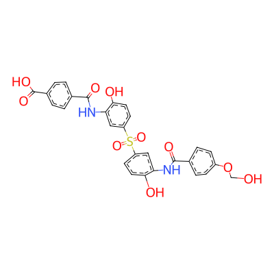 O=C(O)c1ccc(C(=O)Nc2cc(S(=O)(=O)c3ccc(O)c(NC(=O)c4ccc(OCO)cc4)c3)ccc2O)cc1